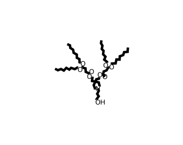 CCCCCCCCCOC(CCC(=O)OCCC1(CCOC(=O)CCC(OCCCCCCCCC)OCCCCCCCCC)CCN(CCCCO)CC1)OCCCCCCCCC